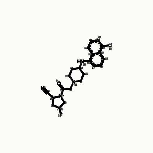 N#CC1C[C@H](F)CN1C(=O)CN1CCC(Nc2cccc3c(Cl)nccc23)CC1